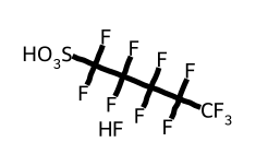 F.O=S(=O)(O)C(F)(F)C(F)(F)C(F)(F)C(F)(F)C(F)(F)F